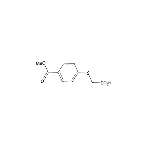 COC(=O)c1ccc(SCC(=O)O)cc1